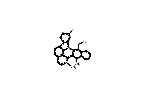 Cc1c2ccccc2c(CC(C)(C)C)c2c1c1c3c(ccc4c5ccc(F)cc5n2c43)cc[n+]1C